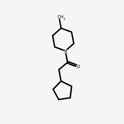 CC1CCN(C(=O)CC2CCCC2)CC1